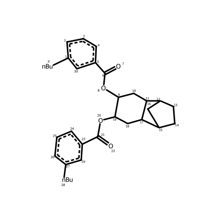 CCCCc1cccc(C(=O)OC2CC3C4CCC(C4)C3CC2OC(=O)c2cccc(CCCC)c2)c1